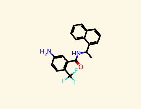 CC(NC(=O)c1cc(N)ccc1C(F)(F)F)c1cccc2ccccc12